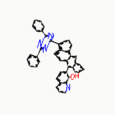 Oc1c(-c2c3ccccc3cc3c2ccc2c(-c4nc(-c5ccccc5)nc(-c5ccccc5)n4)cccc23)ccc2cccnc12